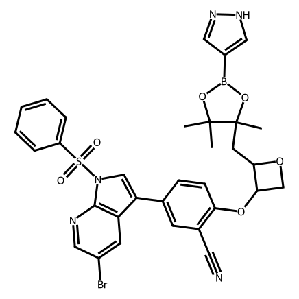 CC1(C)OB(c2cn[nH]c2)OC1(C)CC1OCC1Oc1ccc(-c2cn(S(=O)(=O)c3ccccc3)c3ncc(Br)cc23)cc1C#N